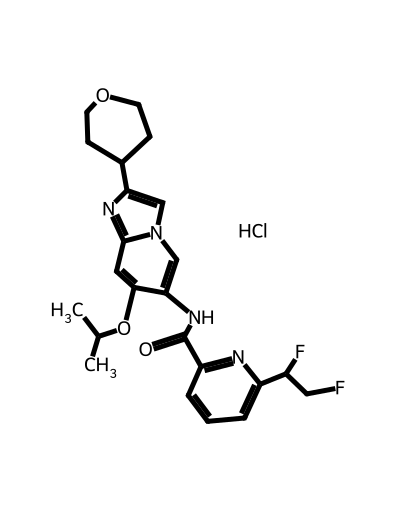 CC(C)Oc1cc2nc(C3CCOCC3)cn2cc1NC(=O)c1cccc(C(F)CF)n1.Cl